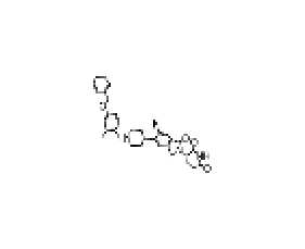 Cc1cc(OCc2ccccc2)ccc1CN1CCC(c2cc3c(cc2F)C(=O)N(C2CCC(=O)NC2=O)C3)CC1